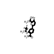 C[C@H](Oc1cc(-c2ccc(F)c([C@@H](C)O)n2)ccc1C(N)=O)C(F)(F)F